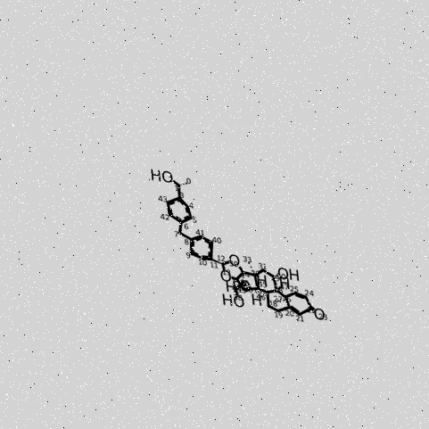 C[C@@H](O)c1ccc(Cc2ccc([C@@H]3O[C@@H]4C[C@H]5[C@@H]6CCC7=CC(=O)C=C[C@]7(C)[C@H]6[C@@H](O)C[C@]5(C)[C@]4(C(=O)CO)O3)cc2)cc1